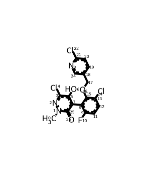 Cn1nc(Cl)c(O)c(-c2c(F)ccc(Cl)c2OCc2ccc(Cl)nc2)c1=O